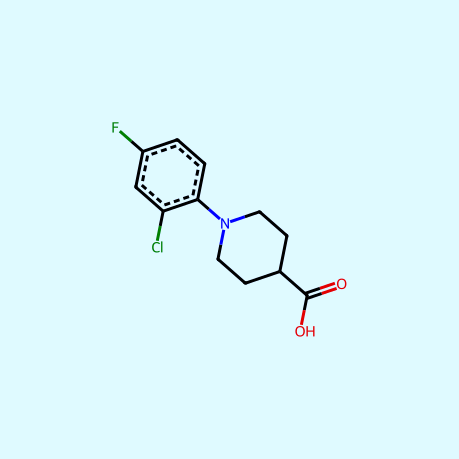 O=C(O)C1CCN(c2ccc(F)cc2Cl)CC1